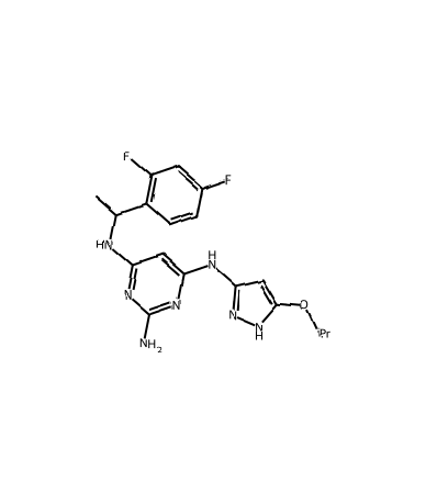 CC(C)Oc1cc(Nc2cc(NC(C)c3ccc(F)cc3F)nc(N)n2)n[nH]1